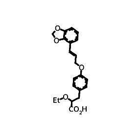 CCOC(Cc1ccc(OCC=Cc2cccc3c2OCO3)cc1)C(=O)O